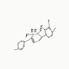 Cc1ccc(C2=CC=C(c3ccc(C)c(F)c3F)C(F)(F)C2(F)F)cc1